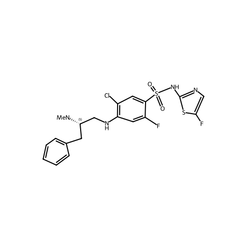 CN[C@H](CNc1cc(F)c(S(=O)(=O)Nc2ncc(F)s2)cc1Cl)Cc1ccccc1